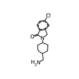 NCC1CCC(N2Cc3cc(Cl)ccc3C2=O)CC1